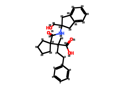 CC(CCc1ccccc1)(C(=O)O)C1(C(=O)NC2(CO)Cc3ccccc3C2)CCCC1